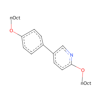 CCCCCCCCOc1ccc(-c2ccc(OCCCCCCCC)nc2)cc1